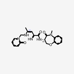 C/C(=C/C(=N)C(=O)N[C@H]1COc2ccccc2N(C)C1=O)NCn1ccccc1=O